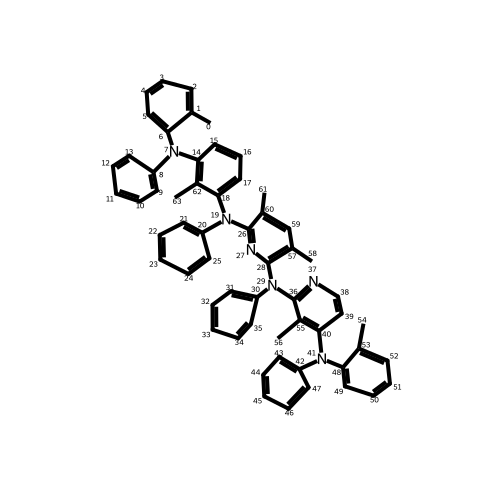 Cc1ccccc1N(c1ccccc1)c1cccc(N(c2ccccc2)c2nc(N(c3ccccc3)c3nccc(N(c4ccccc4)c4ccccc4C)c3C)c(C)cc2C)c1C